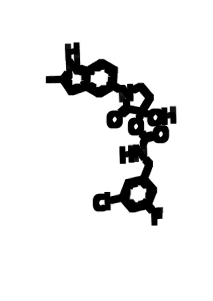 Cc1cc2cc(N3CC[C@](O)(OC(=O)NCc4cc(F)cc(Cl)c4)C3=O)ccc2[nH]1